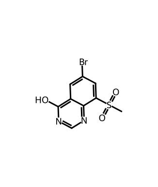 CS(=O)(=O)c1cc(Br)cc2c(O)ncnc12